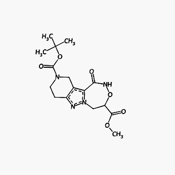 COC(=O)C1Cn2nc3c(c2C(=O)NO1)CN(C(=O)OC(C)(C)C)CC3